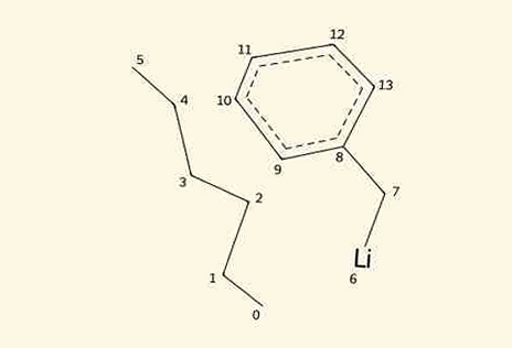 CCCCCC.[Li][CH2]c1ccccc1